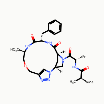 CN[C@@H](C)C(=O)N[C@H](C(=O)N1C[C@@H]2C[C@H]1C(=O)N[C@@H](Cc1ccccc1)C(=O)N[C@H](C(=O)O)COCc1cn2nn1)C(C)C